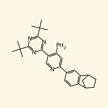 CC(C)(C)c1nc(-c2cnc(-c3ccc4c(c3)C3CCC4C3)cc2P)nc(C(C)(C)C)n1